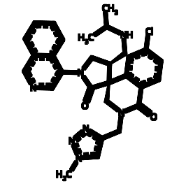 CC(C)NC[C@@H]1CN(c2cncc3ccccc23)C(=O)[C@]12CN(Cc1cn(C)nn1)C(=O)c1ccc(Cl)cc12